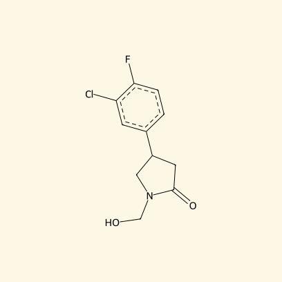 O=C1CC(c2ccc(F)c(Cl)c2)CN1CO